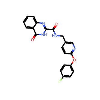 O=C(NCc1ccc(Oc2ccc(F)cc2)nc1)c1nc2ccccc2c(=O)[nH]1